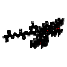 C=C(C)C(=O)OCCNC(=O)OCC(COC(C(F)(F)OC(F)(F)C(F)(F)C(F)(F)F)C(F)(C(F)(F)OC(F)(F)C(F)(F)C(F)(F)F)C(F)(C(F)C(F)(F)OC(F)(F)C(F)(F)C(F)(F)F)C(F)(F)OC(F)(F)C(F)(F)C(F)(F)F)OC(C)=O